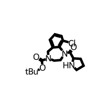 CC(C)(C)OC(=O)N1CCN(C(=O)C2CCCN2)c2c(Cl)cccc2C1